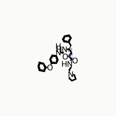 O=C(/C=C/[C@H](Cc1ccccc1)NC(=O)Nc1ccc(Oc2ccccc2)cc1)NCCN1CCCC1